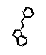 c1ccc(CCn2cnc3cncnc32)nc1